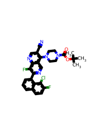 CC(C)(C)OC(=O)N1CCN(c2c(C#N)cnc3c(F)c(-c4cccc5ccc(F)c(Cl)c45)ncc23)CC1